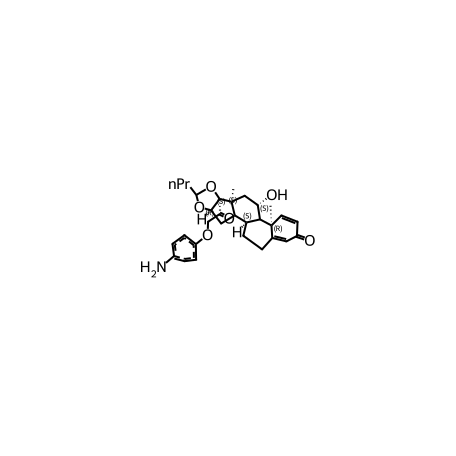 CCCC1O[C@@H]2CC3[C@@H]4CCC5=CC(=O)C=C[C@]5(C)C4[C@@H](O)C[C@]3(C)[C@]2(C(=O)COc2ccc(N)cc2)O1